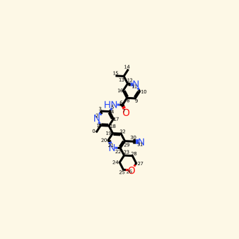 Cc1ncc(NC(=O)c2ccnc(C(C)C)c2)cc1-c1cnc(C2CCOCC2)c(C#N)c1